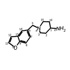 NC1CCN(Cc2ccc3occc3c2)CC1